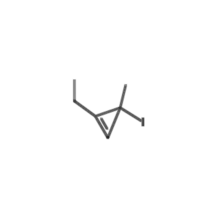 CCC1=CC1(C)I